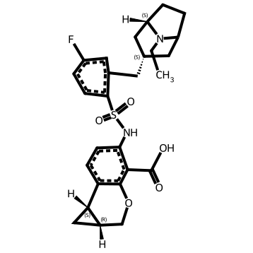 CCN1C2CC[C@H]1C[C@@H](Cc1cc(F)ccc1S(=O)(=O)Nc1ccc3c(c1C(=O)O)OC[C@@H]1C[C@H]31)C2